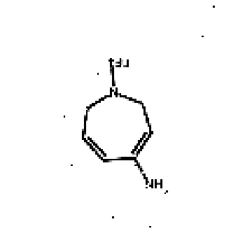 CC(C)(C)N1CC=CC(N)=CC1